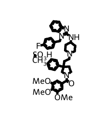 COc1cc(C(=O)N2CCC(CCN3CCC(Nc4nc5ccccc5n4Cc4ccc(F)cc4)CC3)(c3ccccc3)C2)cc(OC)c1OC.CS(=O)(=O)O